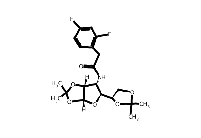 CC1(C)O[C@H]2O[C@H]([C@H]3COC(C)(C)O3)[C@@H](NC(=O)Cc3ccc(F)cc3F)[C@H]2O1